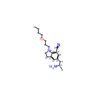 CCCCOCCCN1CCc2cc(C[C@@H](C)N)cc(C#N)c21